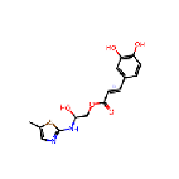 Cc1cnc(NC(O)COC(=O)/C=C/c2ccc(O)c(O)c2)s1